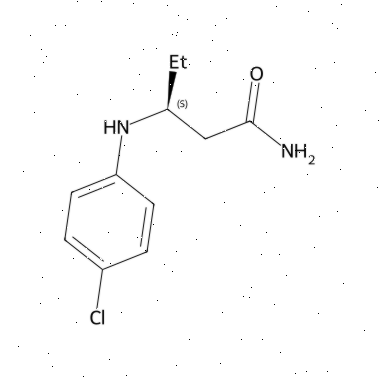 CC[C@@H](CC(N)=O)Nc1ccc(Cl)cc1